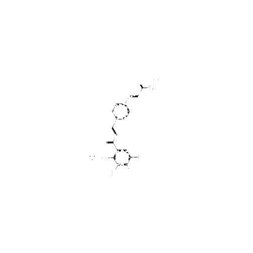 COc1c(C(=O)C=Cc2ccc(C=CC(=O)NO)cc2)cc(F)c(F)c1F